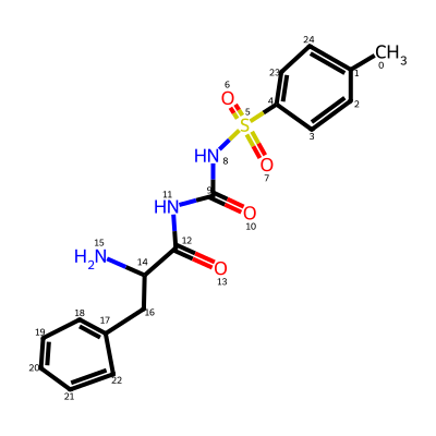 Cc1ccc(S(=O)(=O)NC(=O)NC(=O)C(N)Cc2ccccc2)cc1